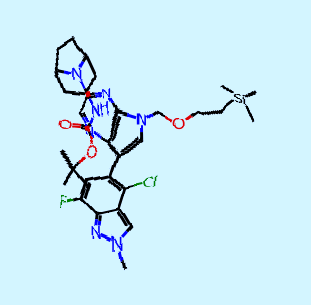 Cn1cc2c(Cl)c(-c3cn(COCC[Si](C)(C)C)c4nc(N5C6CCC5CC(NC(=O)OC(C)(C)C)C6)cnc34)cc(F)c2n1